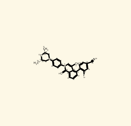 Cc1cn(-c2ccc(N3C[C@@H](C)O[C@@H](C)C3)cc2)c(=O)c2cccc(-c3ccc(C#N)cc3F)c12